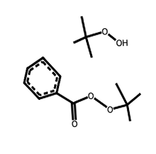 CC(C)(C)OO.CC(C)(C)OOC(=O)c1ccccc1